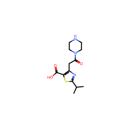 CC(C)c1nc(CC(=O)N2CCNCC2)c(C(=O)O)s1